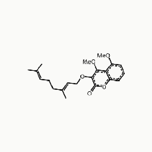 COc1cccc2oc(=O)c(OC/C=C(\C)CCC=C(C)C)c(OC)c12